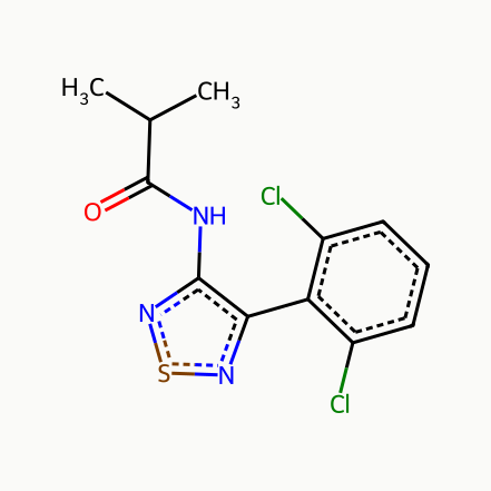 CC(C)C(=O)Nc1nsnc1-c1c(Cl)cccc1Cl